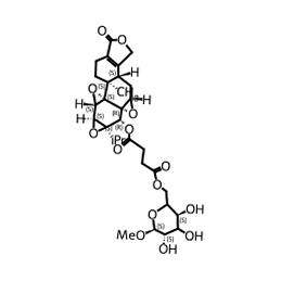 CO[C@H]1OC(COC(=O)CCC(=O)O[C@@H]2[C@@]3(C(C)C)O[C@H]3[C@@H]3O[C@]34[C@]23O[C@H]3C[C@H]2C3=C(CC[C@@]24C)C(=O)OC3)[C@@H](O)C(O)[C@@H]1O